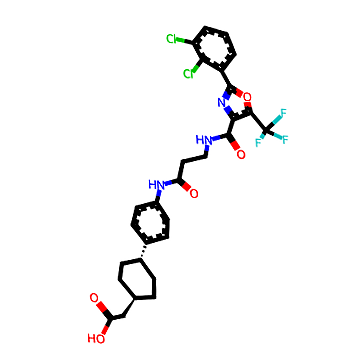 O=C(O)C[C@H]1CC[C@H](c2ccc(NC(=O)CCNC(=O)c3nc(-c4cccc(Cl)c4Cl)oc3C(F)(F)F)cc2)CC1